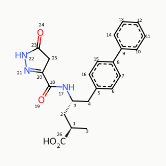 C[C@H](C[C@@H](Cc1ccc(-c2ccccc2)cc1)NC(=O)C1=NNC(=O)C1)C(=O)O